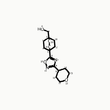 OCC12CCC(c3nc(C4CCOCC4)no3)(CC1)CC2